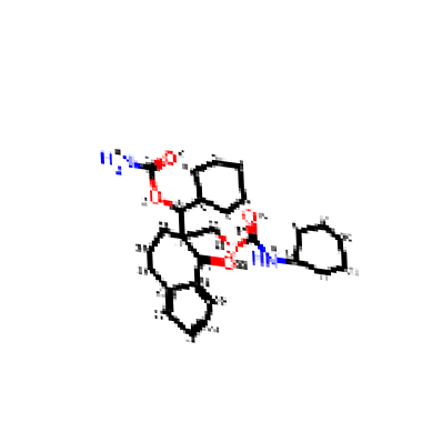 NC(=O)OC(C1CCCCC1)C1(COC(=O)NC2CCCCC2)CCCc2ccccc2C1=O